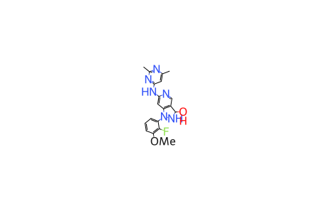 COc1cccc(N2NC(O)c3cnc(Nc4cc(C)nc(C)n4)cc32)c1F